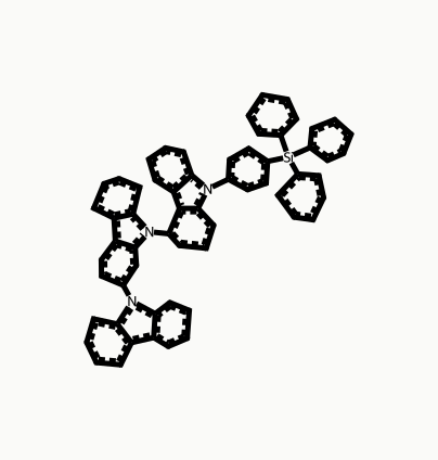 c1ccc([Si](c2ccccc2)(c2ccccc2)c2ccc(-n3c4ccccc4c4c(-n5c6ccccc6c6ccc(-n7c8ccccc8c8ccccc87)cc65)cccc43)cc2)cc1